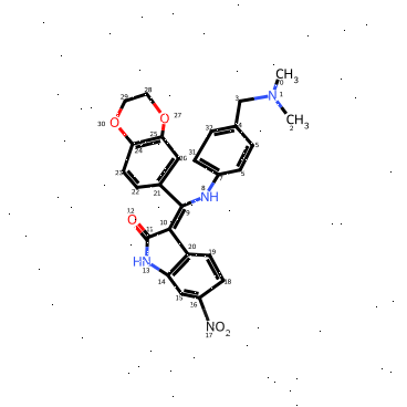 CN(C)Cc1ccc(NC(=C2C(=O)Nc3cc([N+](=O)[O-])ccc32)c2ccc3c(c2)OCCO3)cc1